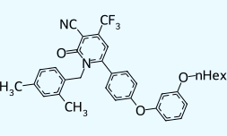 CCCCCCOc1cccc(Oc2ccc(-c3cc(C(F)(F)F)c(C#N)c(=O)n3Cc3ccc(C)cc3C)cc2)c1